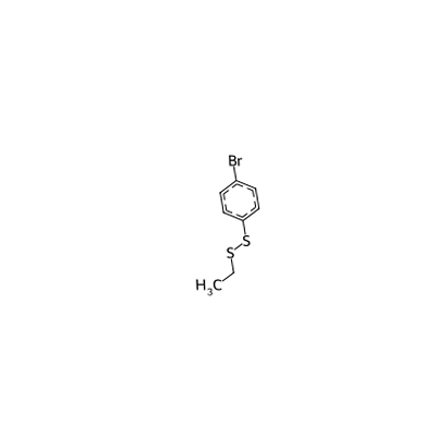 CCSSc1ccc(Br)cc1